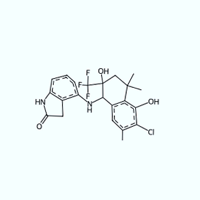 Cc1cc2c(c(O)c1Cl)C(C)(C)CC(O)(C(F)(F)F)C2Nc1cccc2c1CC(=O)N2